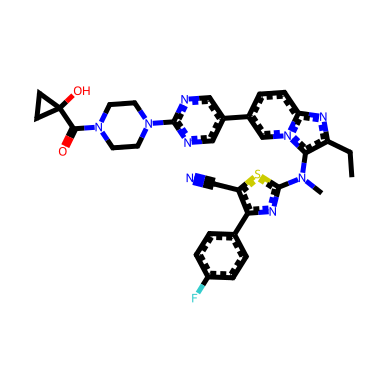 CCc1nc2ccc(-c3cnc(N4CCN(C(=O)C5(O)CC5)CC4)nc3)cn2c1N(C)c1nc(-c2ccc(F)cc2)c(C#N)s1